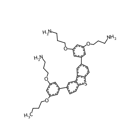 CCCCOc1cc(OCCCN)cc(-c2ccc3sc4ccc(-c5cc(OCCCN)cc(OCCCN)c5)cc4c3c2)c1